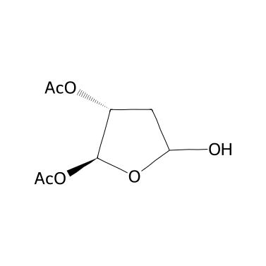 CC(=O)O[C@@H]1OC(O)C[C@H]1OC(C)=O